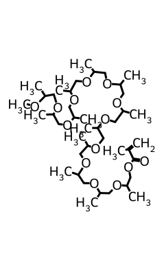 C=C(C)C(=O)OCC(C)OCC(C)OCC(C)OCC(C)OCC(C)OCC(C)OCC(C)OCC(C)OCC(C)OCC(C)OCC(C)OCC(C)OC